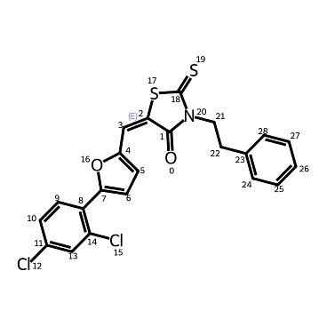 O=C1/C(=C\c2ccc(-c3ccc(Cl)cc3Cl)o2)SC(=S)N1CCc1ccccc1